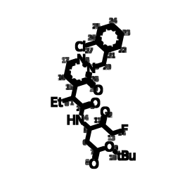 CCC(C(=O)NC(CC(=O)OC(C)(C)C)C(=O)CF)c1ccnn(Cc2ccccc2Cl)c1=O